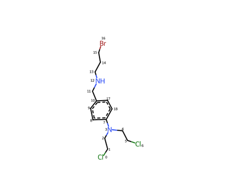 ClCCN(CCCl)c1ccc(CNCCCBr)cc1